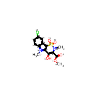 COC(=O)C1=C(O)c2c(c3cc(Cl)ccc3n2C)S(=O)(=O)N1C